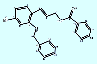 O=C(OCC=Cc1ccc(Br)cc1OCc1ccccc1)c1ccccc1